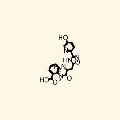 CN(C(=O)C(N)CC1NC(c2ccc(O)cn2)=NO1)c1ccccc1C(=O)O